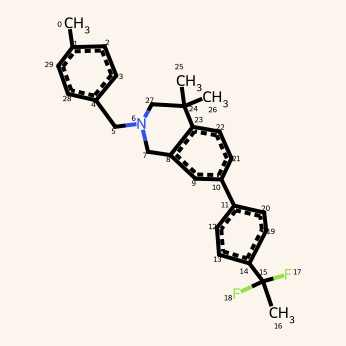 Cc1ccc(CN2Cc3cc(-c4ccc(C(C)(F)F)cc4)ccc3C(C)(C)C2)cc1